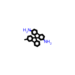 Cc1ccc2c(c1)-c1ccccc1C21c2cc(N)ccc2-c2ccc(N)cc21